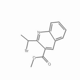 COC(=O)c1cc2ccccc2nc1C(C)Br